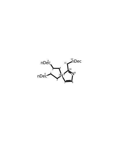 CCCCCCCCCCCC[N+]1(CCCCCCCCCCCC)C=CN=C1CCCCCCCCCCC